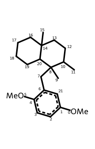 COc1ccc(OC)c(CC2(C)C(C)CCC3(C)CCCCC32)c1